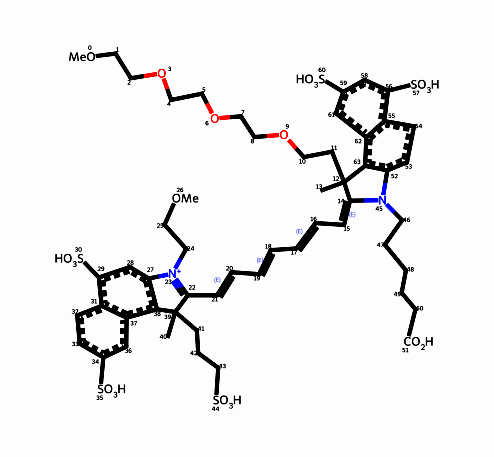 COCCOCCOCCOCCC1(C)\C(=C/C=C/C=C/C=C/C2=[N+](CCOC)c3cc(S(=O)(=O)O)c4ccc(S(=O)(=O)O)cc4c3C2(C)CCCS(=O)(=O)O)N(CCCCCC(=O)O)c2ccc3c(S(=O)(=O)O)cc(S(=O)(=O)O)cc3c21